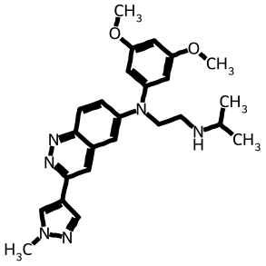 COc1cc(OC)cc(N(CCNC(C)C)c2ccc3nnc(-c4cnn(C)c4)cc3c2)c1